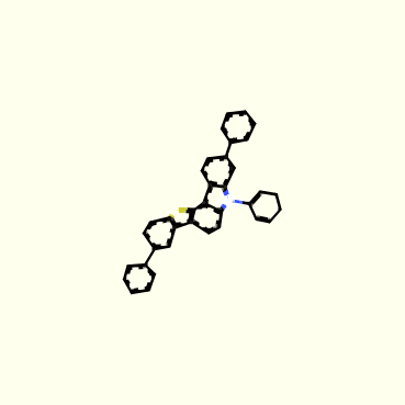 C1=CC(n2c3cc(-c4ccccc4)ccc3c3c4sc5ccc(-c6ccccc6)cc5c4ccc32)=CCC1